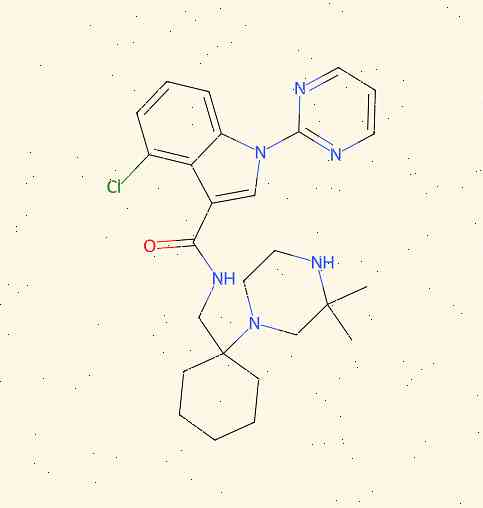 CC1(C)CN(C2(CNC(=O)c3cn(-c4ncccn4)c4cccc(Cl)c34)CCCCC2)CCN1